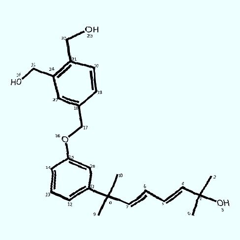 CC(C)(O)/C=C/C=C/C(C)(C)c1cccc(OCc2ccc(CO)c(CO)c2)c1